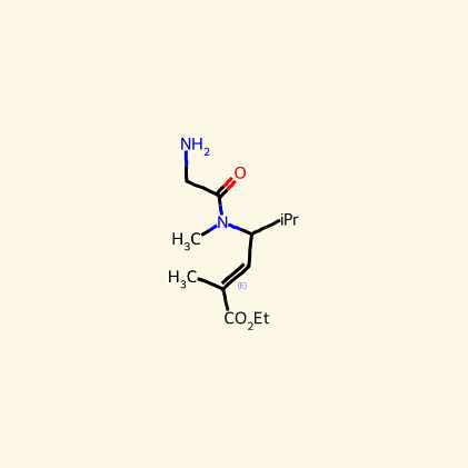 CCOC(=O)/C(C)=C/C(C(C)C)N(C)C(=O)CN